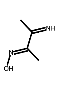 CC(=N)C(C)=NO